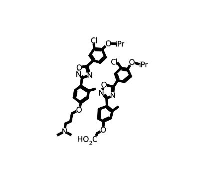 Cc1cc(OCC(=O)O)ccc1-c1noc(-c2ccc(OC(C)C)c(Cl)c2)n1.Cc1cc(OCCCN(C)C)ccc1-c1noc(-c2ccc(OC(C)C)c(Cl)c2)n1